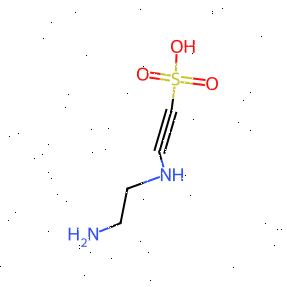 NCCNC#CS(=O)(=O)O